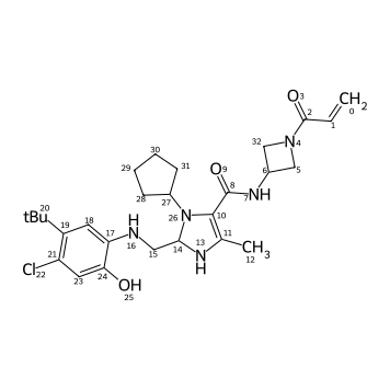 C=CC(=O)N1CC(NC(=O)C2=C(C)NC(CNc3cc(C(C)(C)C)c(Cl)cc3O)N2C2CCCC2)C1